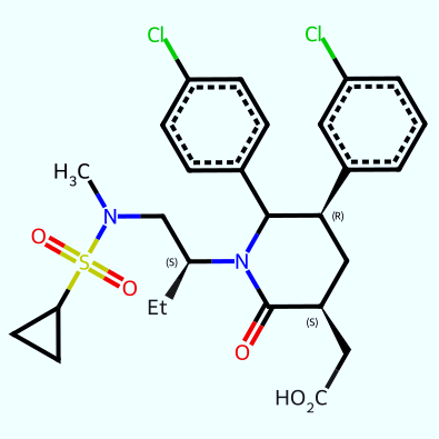 CC[C@@H](CN(C)S(=O)(=O)C1CC1)N1C(=O)[C@H](CC(=O)O)C[C@H](c2cccc(Cl)c2)C1c1ccc(Cl)cc1